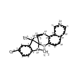 CCC1(C)c2cc(Cl)ccc2N(C)C12C=Nc1c(ccc3ccncc13)O2